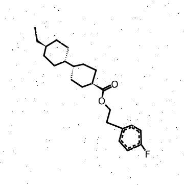 CC[C@H]1CC[C@H]([C@H]2CC[C@H](C(=O)OCCc3ccc(F)cc3)CC2)CC1